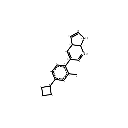 Cc1cc(C2CCC2)ccc1C1=CC2C=CNC2N=C1